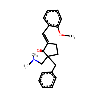 COc1ccccc1C=C1CCC(Cc2ccccc2)(CN(C)C)C1=O